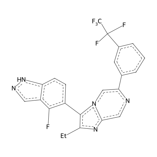 CCc1nc2cnc(-c3cccc(C(F)(F)C(F)(F)F)c3)cn2c1-c1ccc2[nH]ncc2c1F